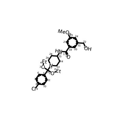 CCOC(OCC)(c1ccc(Cl)cc1)N1CCC(NC(=O)c2cc(CO)cc(OC)c2)CC1